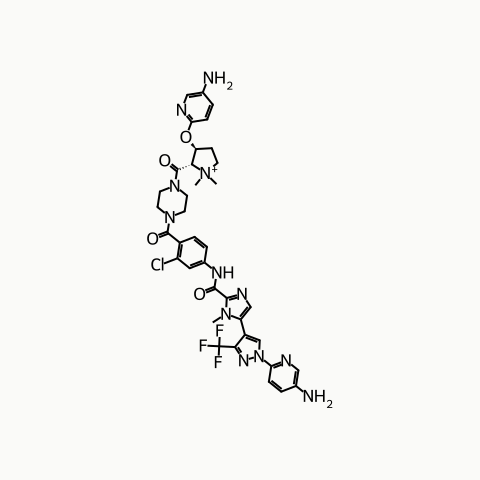 Cn1c(-c2cn(-c3ccc(N)cn3)nc2C(F)(F)F)cnc1C(=O)Nc1ccc(C(=O)N2CCN(C(=O)[C@@H]3[C@@H](Oc4ccc(N)cn4)CC[N+]3(C)C)CC2)c(Cl)c1